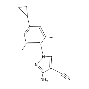 Cc1cc(C2CC2)cc(C)c1-n1cc(C#N)c(N)n1